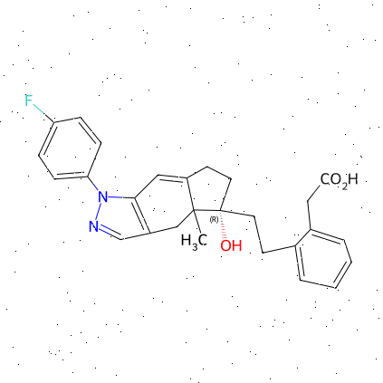 CC12Cc3cnn(-c4ccc(F)cc4)c3C=C1CC[C@@]2(O)CCc1ccccc1CC(=O)O